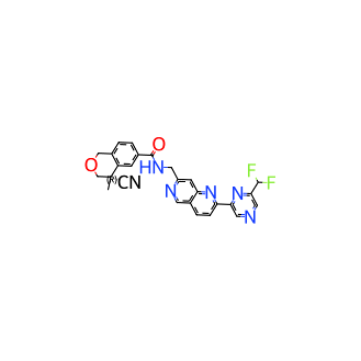 C[C@@]1(C#N)COCc2ccc(C(=O)NCc3cc4nc(-c5cncc(C(F)F)n5)ccc4cn3)cc21